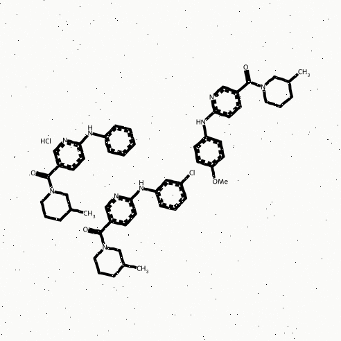 CC1CCCN(C(=O)c2ccc(Nc3cccc(Cl)c3)nc2)C1.CC1CCCN(C(=O)c2ccc(Nc3ccccc3)nc2)C1.COc1ccc(Nc2ccc(C(=O)N3CCCC(C)C3)cn2)cc1.Cl